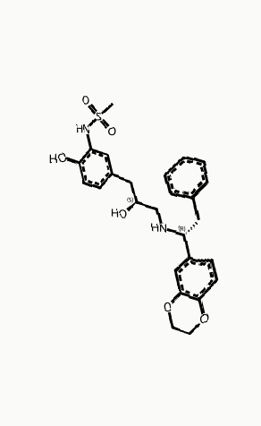 CS(=O)(=O)Nc1cc(C[C@H](O)CN[C@H](Cc2ccccc2)c2ccc3c(c2)OCCO3)ccc1O